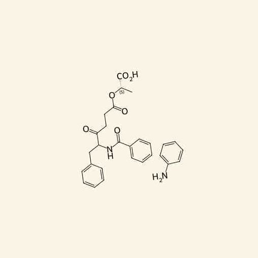 C[C@H](OC(=O)CCC(=O)C(Cc1ccccc1)NC(=O)c1ccccc1)C(=O)O.Nc1ccccc1